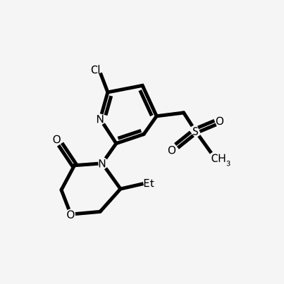 CCC1COCC(=O)N1c1cc(CS(C)(=O)=O)cc(Cl)n1